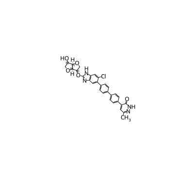 Cc1cc(-c2ccc(-c3ccc(-c4cc5nc(O[C@@H]6CO[C@H]7[C@@H]6OC[C@H]7O)[nH]c5cc4Cl)cc3)cc2)c(=O)[nH]n1